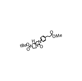 COC(=O)CCc1ccc(N2C[C@@H]3CN(C(=O)OC(C)(C)C)CCN3C2=O)cc1